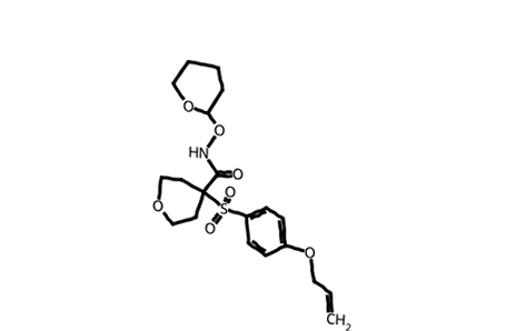 C=CCOc1ccc(S(=O)(=O)C2(C(=O)NOC3CCCCO3)CCOCC2)cc1